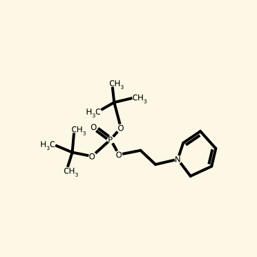 CC(C)(C)OP(=O)(OCCN1C=CC=CC1)OC(C)(C)C